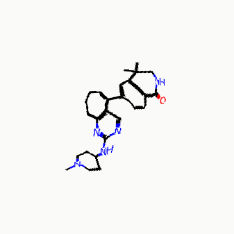 CN1CCC(Nc2ncc3c(n2)CCCC=C3c2ccc3c(c2)C(C)(C)CNC3=O)CC1